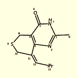 Cc1nc2c(c(=O)[nH]1)CSC/C2=C/C(C)C